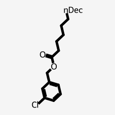 CCCCCCCCCCCCCCCC(=O)OCc1cccc(Cl)c1